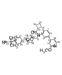 COc1cc(-c2cccc(N(CC34CCC(c5ccc(C(C)(C)C#N)cc5)(CC3)OC4)C(=O)C3CCC3)c2)ccn1